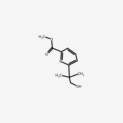 COC(=O)c1cccc(C(C)(C)CO)n1